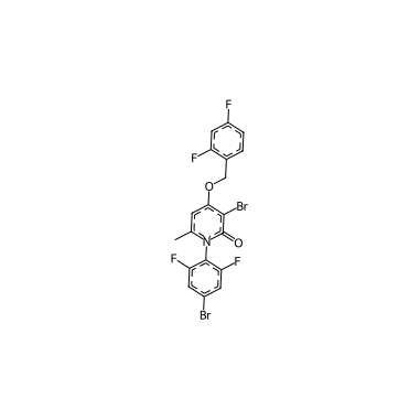 Cc1cc(OCc2ccc(F)cc2F)c(Br)c(=O)n1-c1c(F)cc(Br)cc1F